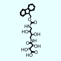 O=C(NC[C@H](O)[C@@H](O)CNC(=O)[C@H](O)[C@@H](O)C(=O)O)OCC1c2ccccc2-c2ccccc21